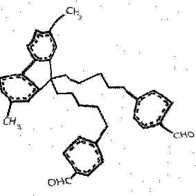 Cc1ccc2c(c1)C(CCCCCc1ccc(C=O)cc1)(CCCCCc1ccc(C=O)cc1)c1cc(C)ccc1-2